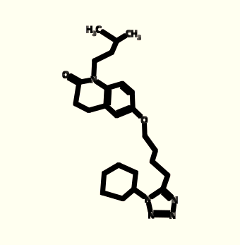 CC(C)CCN1C(=O)CCc2cc(OCCCCc3nnnn3C3CCCCC3)ccc21